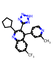 Cc1cc(-c2c(-c3nn[nH]n3)c(C3CCCC3)nc3ccc(C(F)(F)F)cc23)ccn1